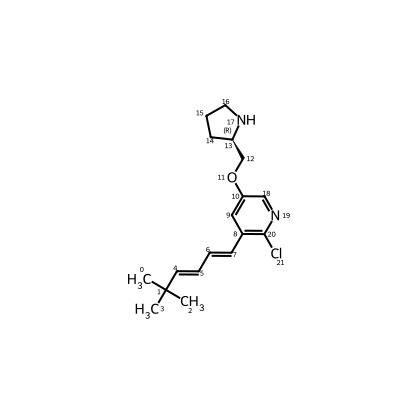 CC(C)(C)C=CC=Cc1cc(OC[C@H]2CCCN2)cnc1Cl